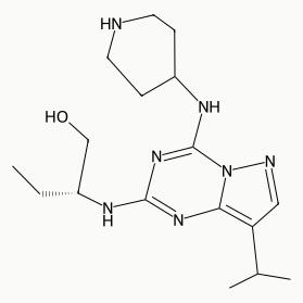 CC[C@H](CO)Nc1nc(NC2CCNCC2)n2ncc(C(C)C)c2n1